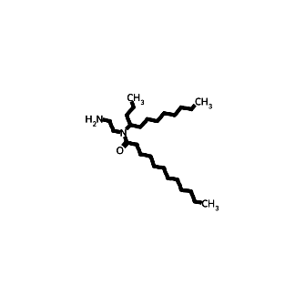 CCCCCCCCCCCC(=O)N(CCN)C(CCC)CCCCCCCC